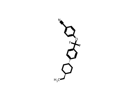 CC[C@H]1CC[C@H](c2ccc(C(F)(F)Oc3ccc(C#N)cc3)cc2)CC1